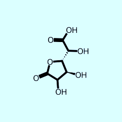 O=C(O)C(O)[C@H]1OC(=O)C(O)[C@@H]1O